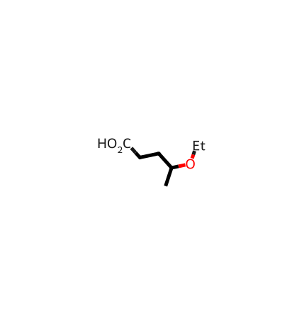 CCOC(C)CCC(=O)O